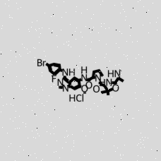 CNC(C)C(=O)NC(C(=O)N1CCCC1C(=O)Nc1cc2c(Nc3ccc(Br)cc3F)ncnc2cc1OC)C(C)(C)C.Cl